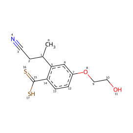 CC(CC#N)c1cc(OCCO)ccc1C(=S)S